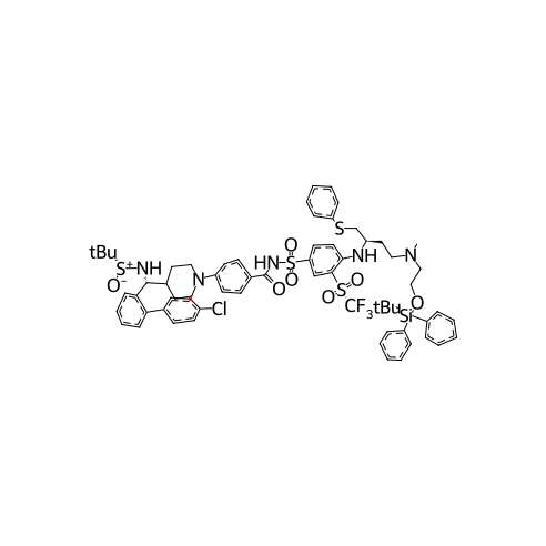 CN(CCO[Si](c1ccccc1)(c1ccccc1)C(C)(C)C)CC[C@H](CSc1ccccc1)Nc1ccc(S(=O)(=O)NC(=O)c2ccc(N3CCC([C@@H](N[S@@+]([O-])C(C)(C)C)c4ccccc4-c4ccc(Cl)cc4)CC3)cc2)cc1S(=O)(=O)C(F)(F)F